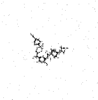 Cc1cc(C)c(C(=O)N2CCC(F)(c3ccc(C#N)cn3)CC2)cc1NC(=O)c1ccc(N2CCC2)nc1